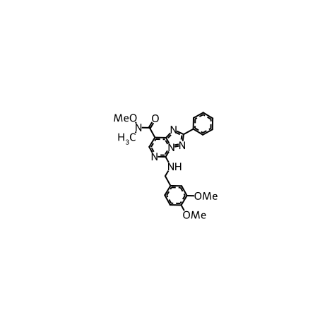 COc1ccc(CNc2ncc(C(=O)N(C)OC)c3nc(-c4ccccc4)nn23)cc1OC